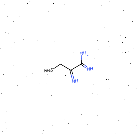 CSCC(=N)C(=N)N